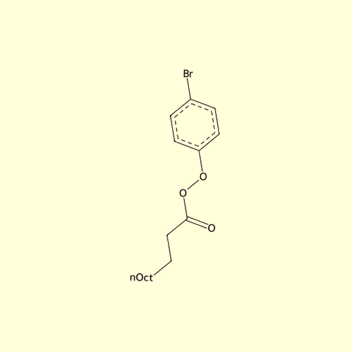 CCCCCCCCCCC(=O)OOc1ccc(Br)cc1